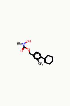 CC(C)(C)N(O)C(=O)OCc1ccc(C2=CCCCC2)c(C(F)(F)F)c1